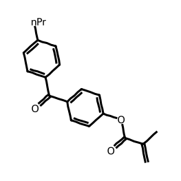 C=C(C)C(=O)Oc1ccc(C(=O)c2ccc(CCC)cc2)cc1